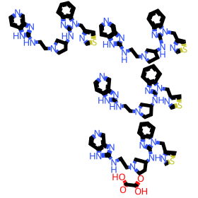 O=C(O)C(=O)O.c1ccc2c(c1)nc(NC1CCN(CCNc3nc4cnccc4[nH]3)C1)n2Cc1cscn1.c1ccc2c(c1)nc(NC1CCN(CCNc3nc4cnccc4[nH]3)C1)n2Cc1cscn1.c1ccc2c(c1)nc(NC1CCN(CCNc3nc4cnccc4[nH]3)C1)n2Cc1cscn1.c1ccc2c(c1)nc(NC1CCN(CCNc3nc4cnccc4[nH]3)C1)n2Cc1cscn1